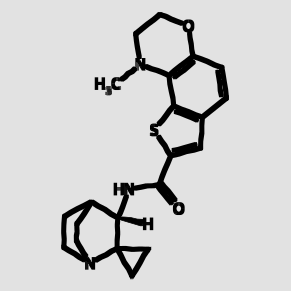 CN1CCOc2ccc3cc(C(=O)N[C@H]4C5CCN(CC5)C45CC5)sc3c21